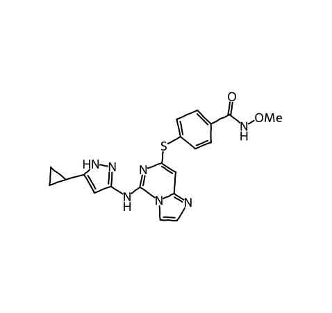 CONC(=O)c1ccc(Sc2cc3nccn3c(Nc3cc(C4CC4)[nH]n3)n2)cc1